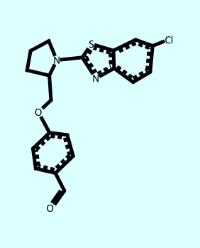 O=Cc1ccc(OCC2CCCN2c2nc3ccc(Cl)cc3s2)cc1